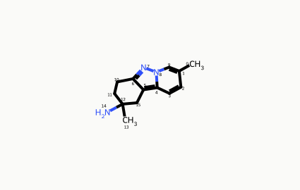 Cc1ccc2c3c(nn2c1)CCC(C)(N)C3